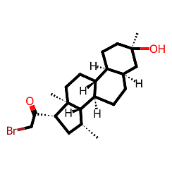 C[C@@H]1C[C@H](C(=O)CBr)[C@@]2(C)CC[C@H]3[C@@H](CC[C@@H]4C[C@](C)(O)CC[C@@H]43)[C@H]12